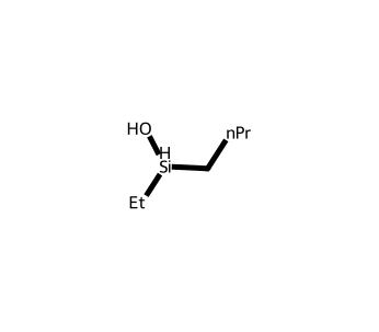 CCCC[SiH](O)CC